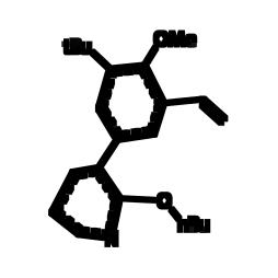 C=Cc1cc(-c2cccnc2OCCCC)cc(C(C)(C)C)c1OC